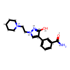 NC(=O)c1cccc(-c2cn(CCN3CCCCC3)nc2O)c1